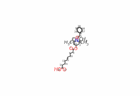 CC1(C)CC(OC(=O)CCCCCCCCC(=O)O)CC(C)(C)N1OCc1ccccc1